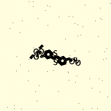 CCOP(=O)(Cc1ccc2sc3c4cc(COP=O)ccc4sc3c2c1)OCC